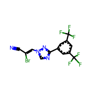 N#C/C(Br)=C/n1cnc(-c2cc(C(F)(F)F)cc(C(F)(F)F)c2)n1